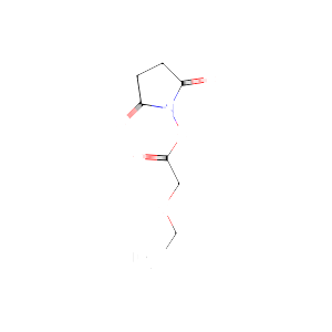 O=C(O)COCC(=O)ON1C(=O)CCC1=O